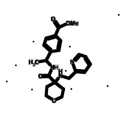 COC(=O)c1ccc(C(C)NC(=O)C2(NCc3ccccn3)CCOCC2)cc1